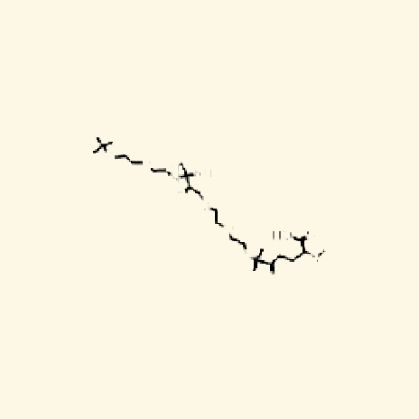 CNC(CCC(=O)C(C)(C)NCCOCCOCC(=O)C(C)(N)NCCOCCOC(C)(C)C)C(=O)O